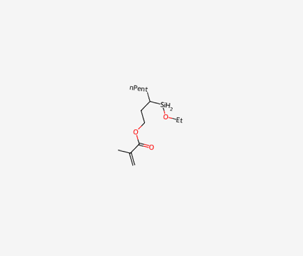 C=C(C)C(=O)OCCC(CCCCC)[SiH2]OCC